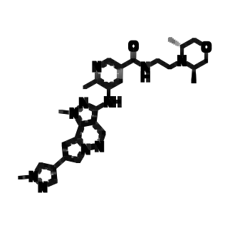 Cc1ncc(C(=O)NCCN2[C@H](C)COC[C@H]2C)cc1Nc1nn(C)c2c1cnn1cc(-c3cnn(C)c3)cc21